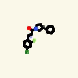 O=C(/C=C/c1ccc(Cl)cc1F)N1CC[C@@H](c2ccccc2)C1